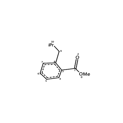 COC(=O)c1cc[c]cc1CC(C)C